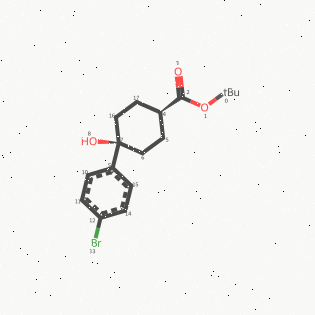 CC(C)(C)OC(=O)[C@H]1CC[C@](O)(c2ccc(Br)cc2)CC1